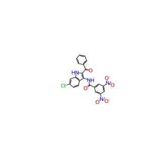 O=C(Nc1c(C(=O)c2ccccc2)[nH]c2cc(Cl)ccc12)c1cc([N+](=O)[O-])cc([N+](=O)[O-])c1